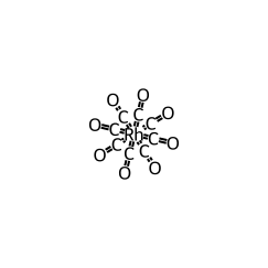 O=[C]=[Rh](=[C]=O)(=[C]=O)(=[C]=O)(=[C]=O)(=[C]=O)(=[C]=O)=[C]=O